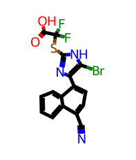 N#Cc1ccc(-c2nc(SC(F)(F)C(=O)O)[nH]c2Br)c2ccccc12